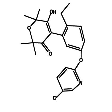 CCc1ccc(Oc2ccc(Cl)cn2)cc1C1=C(O)C(C)(C)OC(C)(C)C1=O